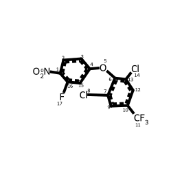 O=[N+]([O-])c1ccc(Oc2c(Cl)cc(C(F)(F)F)cc2Cl)cc1F